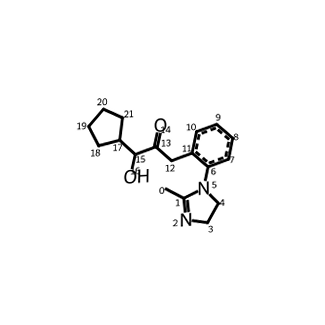 CC1=NCCN1c1ccccc1CC(=O)C(O)C1CCCC1